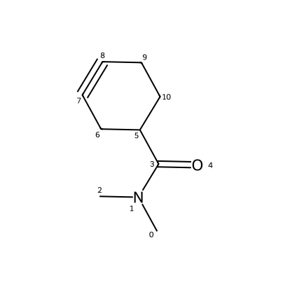 CN(C)C(=O)C1CC#CCC1